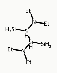 CCN(CC)[SiH]([SiH3])[SiH]([SiH3])N(CC)CC